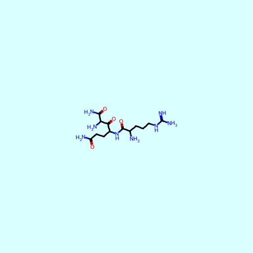 N=C(N)NCCCC(N)C(=O)NC(CCC(N)=O)C(=O)C(N)C(N)=O